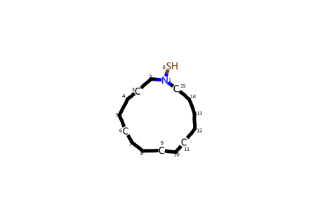 SN1CCCCCCCCCCCCCC1